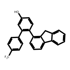 Oc1ccc(-c2cccc3c2Cc2ccccc2-3)c(-c2ccc(C(F)(F)F)cc2)c1